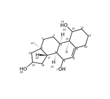 C[C@]12CC[C@@H]3[C@@H](C(O)C=C4CCCC(O)[C@@]43C)[C@@H]1CC(O)C2